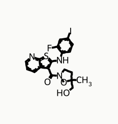 CC1(CO)CCN(C(=O)c2c(Nc3ccc(I)cc3F)sc3ncccc23)O1